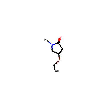 CC(C)N1CC(SCC(C)(C)C)CC1=O